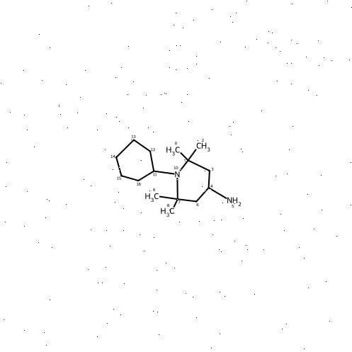 CC1(C)CC(N)CC(C)(C)N1C1CCCCC1